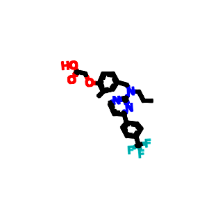 CCCN(Cc1ccc(OCC(=O)O)c(C)c1)c1nccc(-c2ccc(C(F)(F)F)cc2)n1